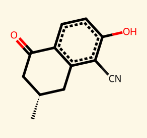 C[C@@H]1CC(=O)c2ccc(O)c(C#N)c2C1